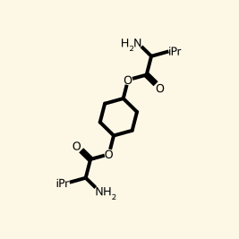 CC(C)C(N)C(=O)OC1CCC(OC(=O)C(N)C(C)C)CC1